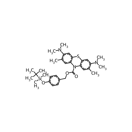 Cc1cc2c(cc1N(C)C)Sc1cc(N(C)C)c(C)cc1N2C(=O)OCc1ccc(O[Si](C)(C)C(C)(C)C)cc1